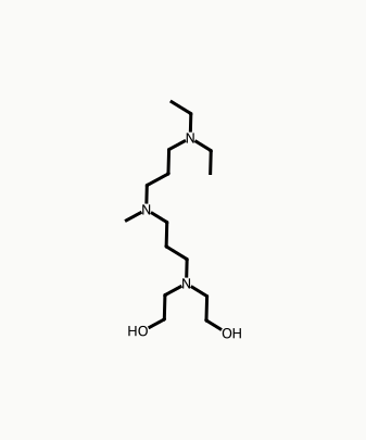 CCN(CC)CCCN(C)CCCN(CCO)CCO